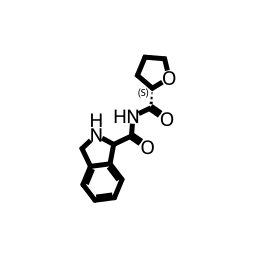 O=C(NC(=O)[C@@H]1CCCO1)C1NCc2ccccc21